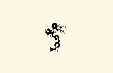 Cc1cncc2c1c(CC1CCN(CC3CCN(C(=O)C4CC4)CC3)C1)cn2-c1ccc(F)cc1C(=O)N(C)C(C)C